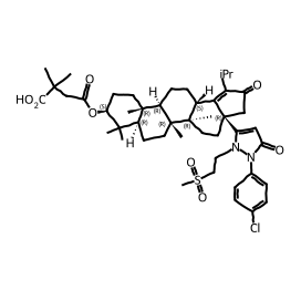 CC(C)C1=C2[C@H]3CC[C@@H]4[C@@]5(C)CC[C@H](OC(=O)CC(C)(C)C(=O)O)C(C)(C)[C@@H]5CC[C@@]4(C)[C@]3(C)CC[C@@]2(c2cc(=O)n(-c3ccc(Cl)cc3)n2CCS(C)(=O)=O)CC1=O